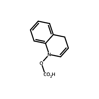 O=C(O)ON1C=CCc2ccccc21